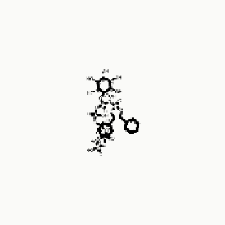 O=P(O)(O)OP(=O)(O)OP(=O)(O)OP(=O)(O)OP(=O)(O[C@]1(O)[C@H](O)[C@H](O)[C@@H](O)[C@H](O)[C@H]1O)OP(=O)(OCc1ccccc1)OCc1ccccc1